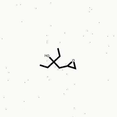 CCC(O)(CC)CC1CO1